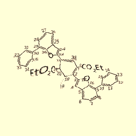 CCOC(=O)C1=C(c2cc3cccc(-c4ccccc4)c3o2)[C@H](C)C(C(=O)OCC)C(c2cc3cccc(-c4ccccc4)c3o2)=C1